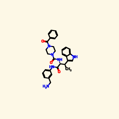 C[C@H](c1c[nH]c2ccccc12)[C@@H](NC(=O)N1CCN(C(=O)c2ccccc2)CC1)C(=O)Nc1cccc(CN)c1